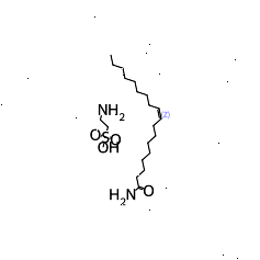 CCCCCCCC/C=C\CCCCCCCC(N)=O.NCCS(=O)(=O)O